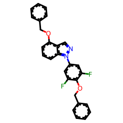 Fc1cc(-n2ncc3c(OCc4ccccc4)cccc32)cc(F)c1OCc1ccccc1